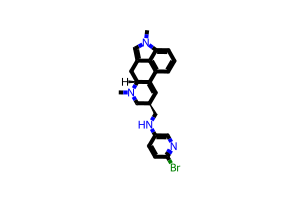 CN1C[C@H](CNc2ccc(Br)nc2)C=C2c3cccc4c3c(cn4C)C[C@H]21